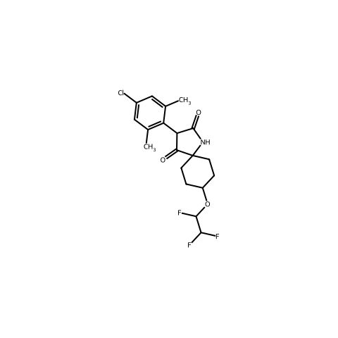 Cc1cc(Cl)cc(C)c1C1C(=O)NC2(CCC(OC(F)C(F)F)CC2)C1=O